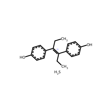 CC/C(=C(/CC)c1ccc(O)cc1)c1ccc(O)cc1.S